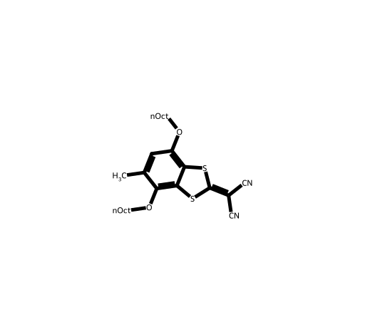 CCCCCCCCOc1cc(C)c(OCCCCCCCC)c2c1SC(=C(C#N)C#N)S2